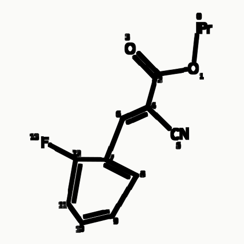 CC(C)OC(=O)/C(C#N)=C/c1ccccc1F